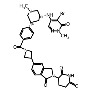 CN1C[C@H](Nc2cnn(C)c(=O)c2Br)C[C@H](c2ccc(C(=O)N3CC(c4ccc5c(c4)CN(C4CCC(=O)NC4=O)C5=O)C3)cc2)C1